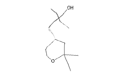 CC(C)(O)C[C@H]1COC(C)(C)C1